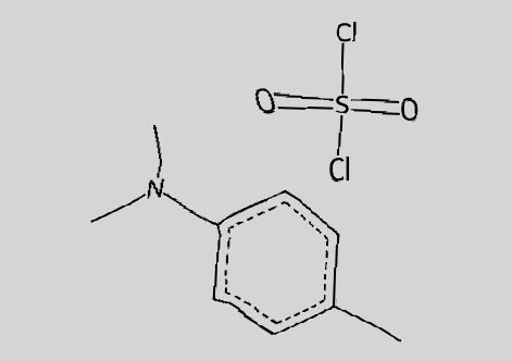 Cc1ccc(N(C)C)cc1.O=S(=O)(Cl)Cl